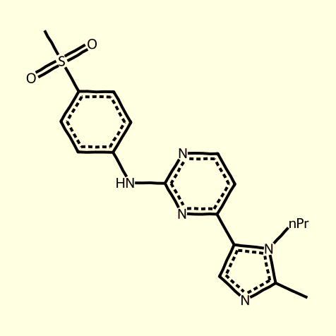 CCCn1c(-c2ccnc(Nc3ccc(S(C)(=O)=O)cc3)n2)cnc1C